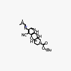 CN(C)/C=N/c1cnc2c(c1C#N)O[C@@H]1CCN(C(=O)OC(C)(C)C)C[C@H]1N2